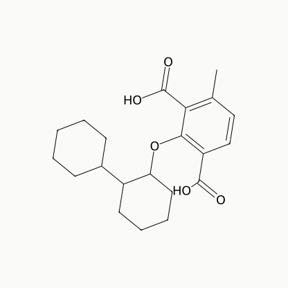 Cc1ccc(C(=O)O)c(OC2CCCCC2C2CCCCC2)c1C(=O)O